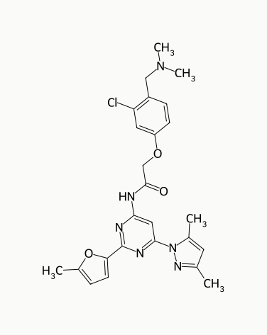 Cc1cc(C)n(-c2cc(NC(=O)COc3ccc(CN(C)C)c(Cl)c3)nc(-c3ccc(C)o3)n2)n1